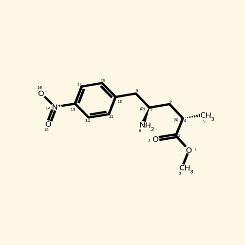 COC(=O)[C@@H](C)C[C@@H](N)Cc1ccc([N+](=O)[O-])cc1